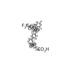 Cc1cc(C)c(S(=O)(=O)N(Cc2ccc(-c3cccc(S(=O)(=O)CCCC(=O)O)c3)cc2)Cc2ccc(C(F)(F)F)o2)c(C)c1